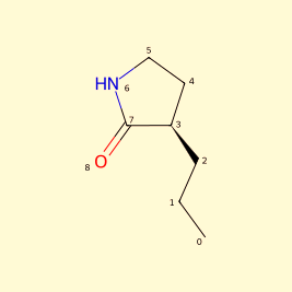 CCC[C@@H]1CCNC1=O